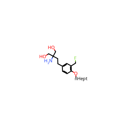 CCCCCCCOc1ccc(CCC(N)(CO)CO)cc1CF